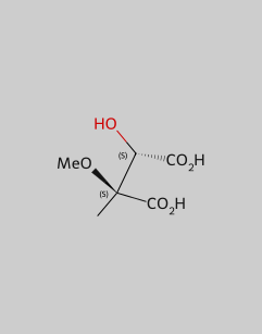 CO[C@](C)(C(=O)O)[C@H](O)C(=O)O